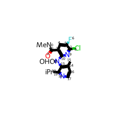 CNC(=O)c1cc(F)c(Cl)nc1N(C=O)c1c(C)ccnc1C(C)C